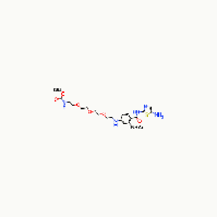 CC(=O)Nc1cc(NCCOCCOCCOCCNC(=O)OC(C)(C)C)ccc1C(=O)Nc1ncc(N)s1